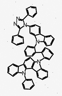 c1ccc(-c2nnc(-c3ccccc3)n2-c2ccc3c4ccccc4n(-c4ccccc4-c4ccccc4-n4c5ccccc5c5c4ccc4c6ccccc6n(-c6ccccc6)c45)c3c2)cc1